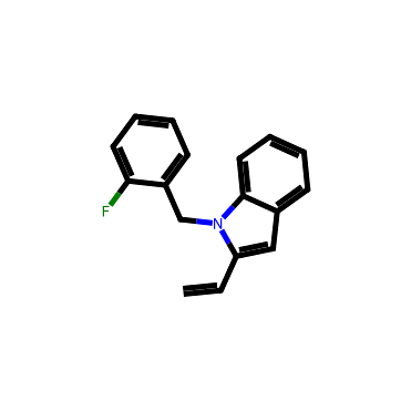 C=Cc1cc2ccccc2n1Cc1ccccc1F